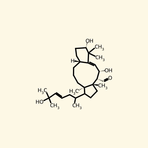 CC(C/C=C/C(C)(C)O)C1CC[C@@]2(C)[C@@H](C=O)[C@@H](O)/C=C3\[C@H](CCC[C@]12C)CC[C@H](O)C3(C)C